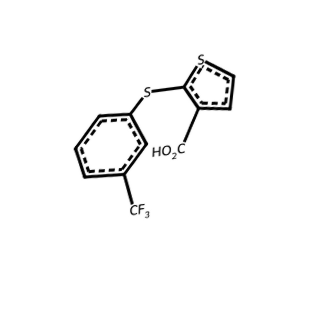 O=C(O)c1ccsc1Sc1cccc(C(F)(F)F)c1